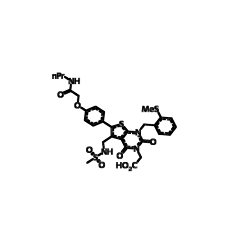 CCCNC(=O)COc1ccc(-c2sc3c(c2CNS(C)(=O)=O)c(=O)n(CC(=O)O)c(=O)n3Cc2ccccc2SC)cc1